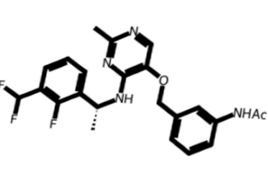 CC(=O)Nc1cccc(COc2cnc(C)nc2N[C@H](C)c2cccc(C(F)F)c2F)c1